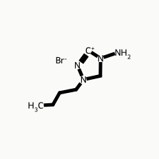 CCCCN1CN(N)[C+]=N1.[Br-]